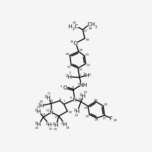 [2H]C([2H])(NC(=O)N(C1CC([2H])([2H])N(C([2H])([2H])[2H])C([2H])([2H])C1)C([2H])([2H])c1ccc(F)cc1)c1ccc(OCC(C)C)cc1